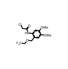 COc1cc(COCC(F)(F)F)c(NC(=O)CCl)cc1OC